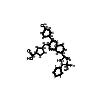 O=C(N[C@@H](c1ccccc1)C(F)(F)F)c1ccc2nc(-c3ccc(Cl)cc3)c(CC3CCC(C(=O)O)C3)nc2c1